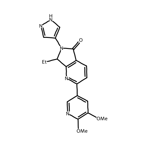 CCC1c2nc(-c3cnc(OC)c(OC)c3)ccc2C(=O)N1c1cn[nH]c1